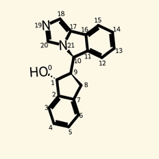 O[C@H]1c2ccccc2C[C@@H]1[C@@H]1c2ccccc2-c2cncn21